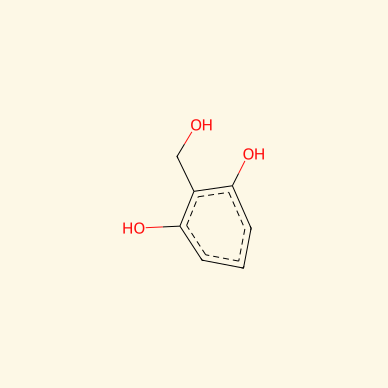 OCc1c(O)cccc1O